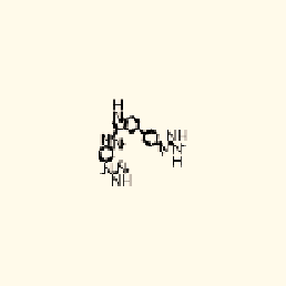 CNC(=N)N(C)c1ccc(-c2ccc3[nH]cc(-c4nc5ccc(N(C)C(=N)N(C)C)cc5n4C)c3c2)cc1